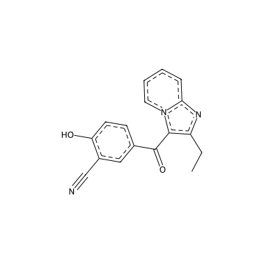 CCc1nc2ccccn2c1C(=O)c1ccc(O)c(C#N)c1